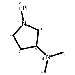 CCCN1CCC(N(C)C)C1